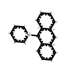 c1cc[n+](-c2c3ccccc3cc3ccccc23)cc1